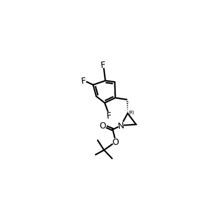 CC(C)(C)OC(=O)N1C[C@H]1Cc1cc(F)c(F)cc1F